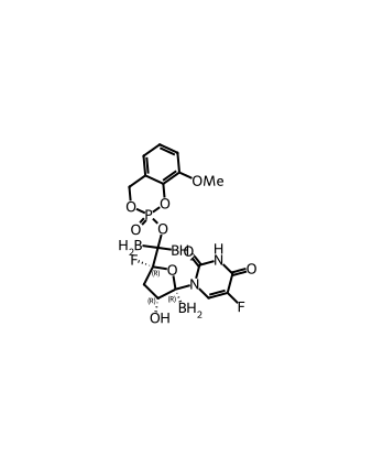 BC(B)(OP1(=O)OCc2cccc(OC)c2O1)[C@]1(F)C[C@@H](O)[C@](B)(n2cc(F)c(=O)[nH]c2=O)O1